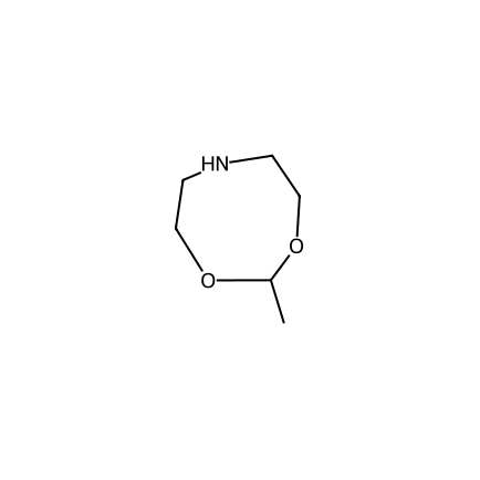 CC1OCCNCCO1